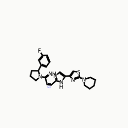 N=C(/C=C\c1ncc(-c2csc(N3CCCCC3)n2)[nH]1)N1CCCC1c1cccc(F)c1